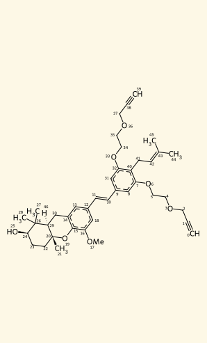 C#CCOCCOc1cc(/C=C/c2cc3c(c(OC)c2)O[C@]2(C)CC[C@@H](O)C(C)(C)[C@H]2C3)cc(OCCOCC#C)c1CC=C(C)C